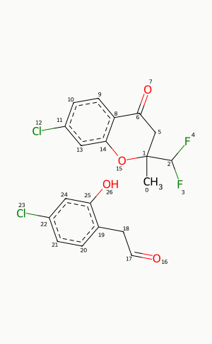 CC1(C(F)F)CC(=O)c2ccc(Cl)cc2O1.O=CCc1ccc(Cl)cc1O